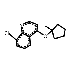 CC1(Oc2ccnc3c(Cl)cccc23)CCCC1